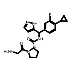 CC(=O)NCC(=O)N1CCC[C@H]1C(=O)NC(c1ccc(C2CC2)c(F)c1)c1ccn[nH]1